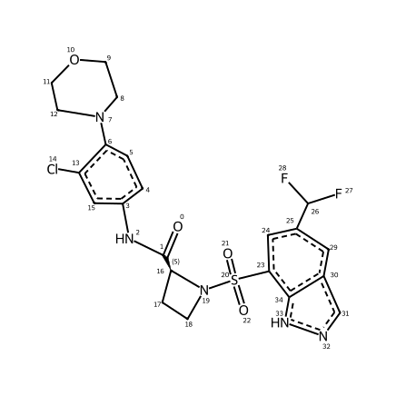 O=C(Nc1ccc(N2CCOCC2)c(Cl)c1)[C@@H]1CCN1S(=O)(=O)c1cc(C(F)F)cc2cn[nH]c12